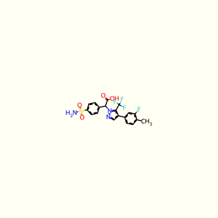 Cc1ccc(-c2cnn(C(C(=O)O)c3ccc(S(N)(=O)=O)cc3)c2C(F)(F)F)cc1F